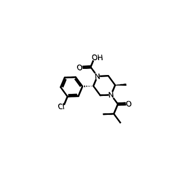 CC(C)C(=O)N1C[C@H](c2cccc(Cl)c2)N(C(=O)O)C[C@H]1C